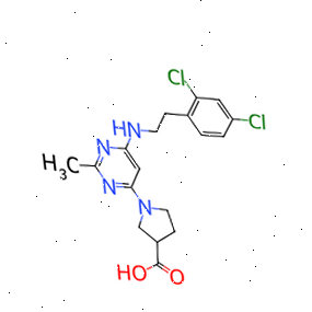 Cc1nc(NCCc2ccc(Cl)cc2Cl)cc(N2CCC(C(=O)O)C2)n1